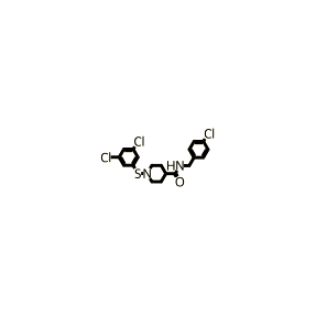 O=C(NCc1ccc(Cl)cc1)C1CCN(Sc2cc(Cl)cc(Cl)c2)CC1